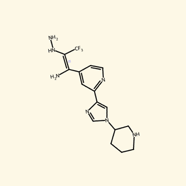 NN/C(=C(\N)c1ccnc(-c2cn(C3CCCNC3)cn2)c1)C(F)(F)F